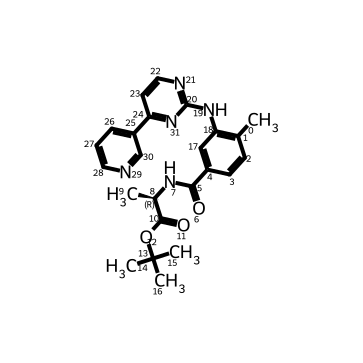 Cc1ccc(C(=O)N[C@H](C)C(=O)OC(C)(C)C)cc1Nc1nccc(-c2cccnc2)n1